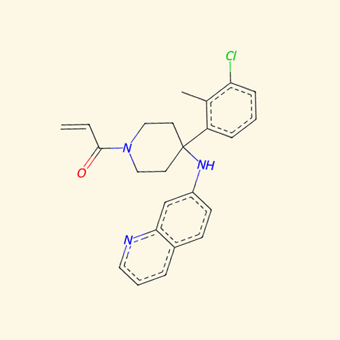 C=CC(=O)N1CCC(Nc2ccc3cccnc3c2)(c2cccc(Cl)c2C)CC1